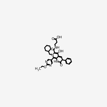 CCOc1ncc(C2=C3NC(=O)C(c4ccccc4)C=C3C(O)=C(C(=O)NCCC(=O)O)N2CC2CCCCC2)cn1